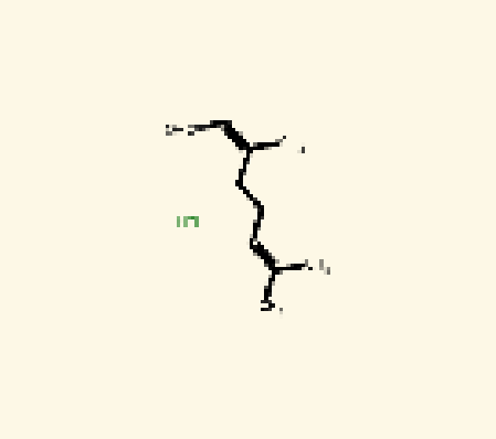 CC(C)=CCCC(C)=CC=O.Cl